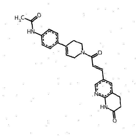 CC(=O)Nc1ccc(C2=CCN(C(=O)/C=C/c3cnc4c(c3)CCC(=O)N4)CC2)cc1